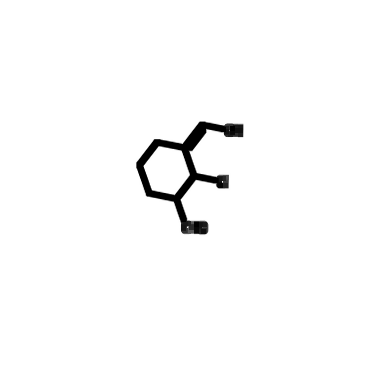 O=CC1CCC/C(=C/O)C1Cl